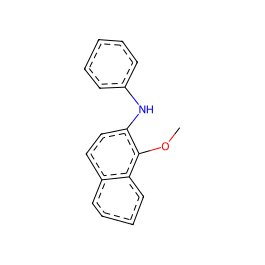 COc1c(Nc2ccccc2)ccc2ccccc12